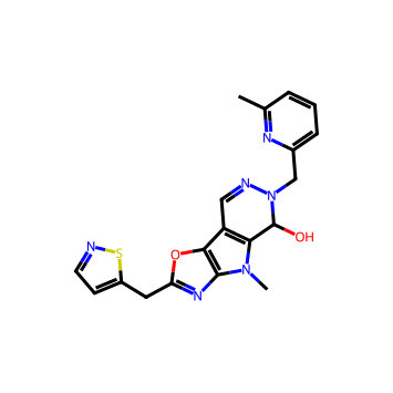 Cc1cccc(CN2N=Cc3c(n(C)c4nc(Cc5ccns5)oc34)C2O)n1